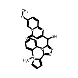 COc1ccc2nc(C(S)c3nnc(-c4cccs4)n3-c3ccccc3OC)cc(=O)n2c1